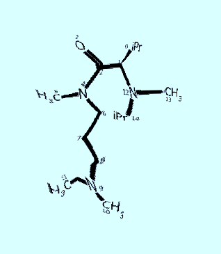 CC(C)[C@H](C(=O)N(C)CCCN(C)C)N(C)C(C)C